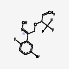 C=CC(OC/C(=N\O)c1cc(Br)ccc1F)C(F)(F)F